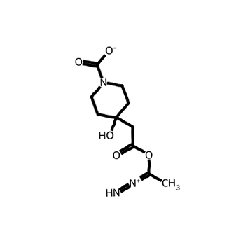 CC(=[N+]=N)OC(=O)CC1(O)CCN(C(=O)[O-])CC1